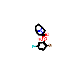 O=C(O)N1C2CCC1CC(Oc1cc(F)ccc1Br)C2